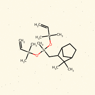 C=C[Si](C)(C)O[Si](C)(CC1C2CCC(C2)C1(C)C)O[Si](C)(C)C=C